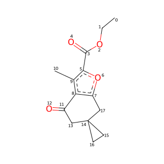 CCOC(=O)c1oc2c(c1C)C(=O)CC1(CC1)C2